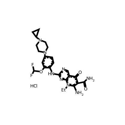 CCn1c(N)c(C(N)=O)c(=O)c2cnc(Nc3ccc(N4CCN(C5CC5)CC4)cc3OC(F)F)nc21.Cl